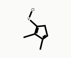 CC1=CC[C]([V][Cl])=C1C